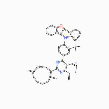 C=Cc1nc(-c2cccc(=C)ccccc2=C)nc(-c2ccc3c(c2)C(C)(C)c2cccc4c5oc6ccccc6c5n-3c24)c1/C=C\C